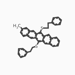 Cc1ccc2cc3c(SCCc4ccccc4)c4cc5ccccc5cc4c(SCCc4ccccc4)c3cc2c1